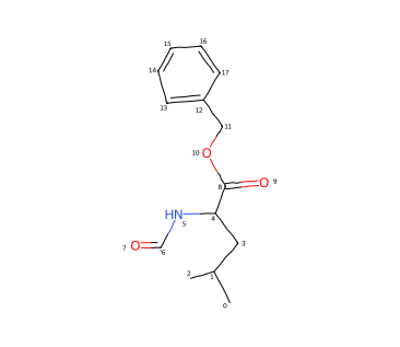 CC(C)CC(N[C]=O)C(=O)OCc1ccccc1